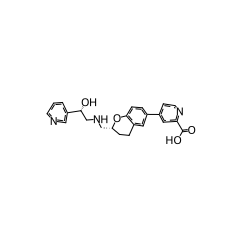 O=C(O)c1cc(-c2ccc3c(c2)CC[C@H](CNC[C@@H](O)c2cccnc2)O3)ccn1